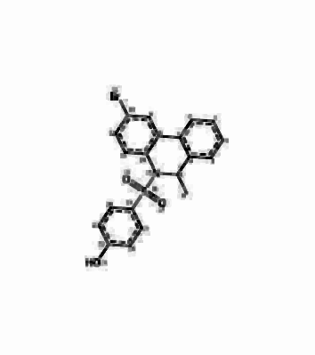 CC1c2ccccc2-c2cc(Br)ccc2N1S(=O)(=O)c1ccc(O)cc1